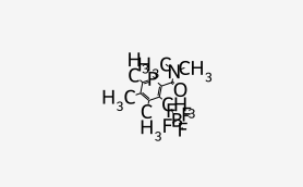 Cc1pc(C(=O)N(C)C)c(C)c(C)c1C.F[B-](F)(F)F